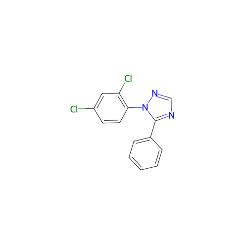 Clc1ccc(-n2ncnc2-c2ccccc2)c(Cl)c1